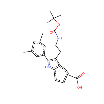 Cc1cc(C)cc(-c2[nH]c3ccc(C(=O)O)cc3c2CCNC(=O)OC(C)(C)C)c1